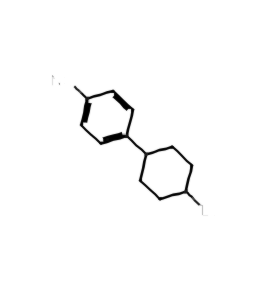 CCC1CCC(c2ccc(C#N)cc2)CC1